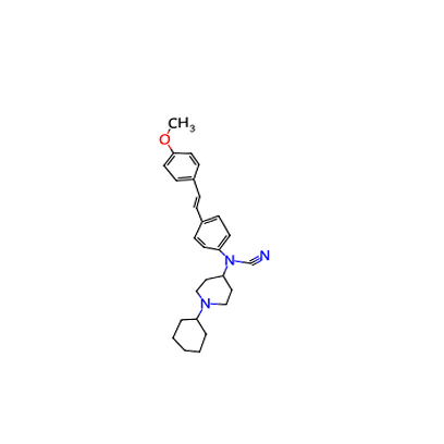 COc1ccc(C=Cc2ccc(N(C#N)C3CCN(C4CCCCC4)CC3)cc2)cc1